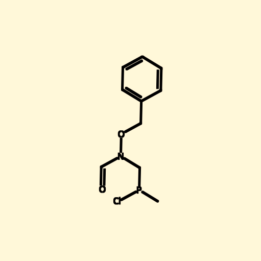 CP(Cl)CN(C=O)OCc1ccccc1